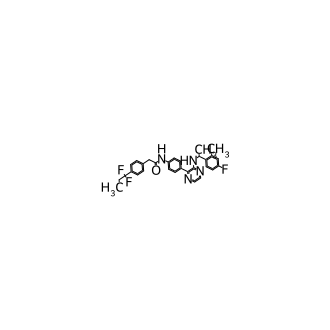 CCC(F)(F)c1ccc(CC(=O)Nc2ccc(-c3nccnc3NC(C)c3ccc(F)cc3C)cc2)cc1